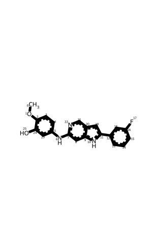 COc1ccc(Nc2cc3[nH]c(-c4cccc(F)c4)cc3cn2)cc1O